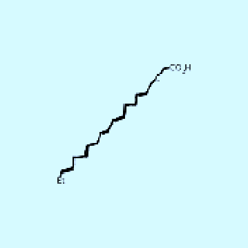 CCC=CCC=CCC=CC=CCCC=CCCCC(=O)O